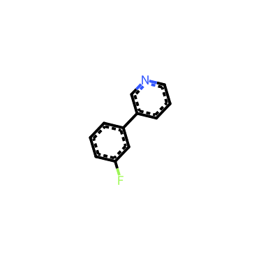 Fc1cccc(-c2cccnc2)c1